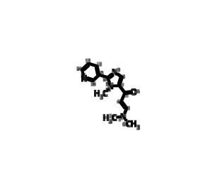 CN(C)C=CC(=O)c1cnc(-c2cccnc2)n1C